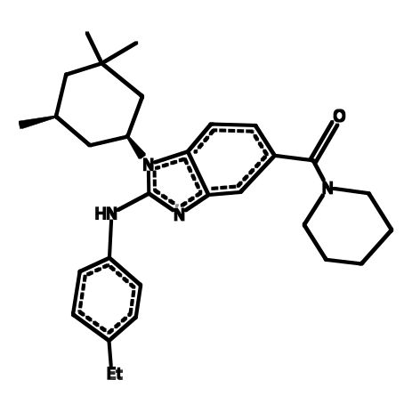 CCc1ccc(Nc2nc3cc(C(=O)N4CCCCC4)ccc3n2[C@H]2C[C@@H](C)CC(C)(C)C2)cc1